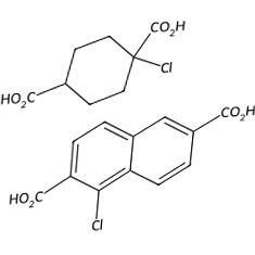 O=C(O)C1CCC(Cl)(C(=O)O)CC1.O=C(O)c1ccc2c(Cl)c(C(=O)O)ccc2c1